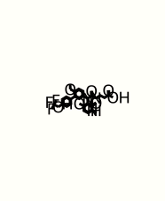 COc1ccc(N(C(=O)NCCC(=O)O)c2c(O)ccn(C)c2=O)cc1-c1ccc(OC(F)(F)F)cc1